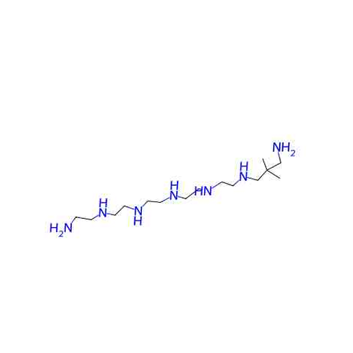 CC(C)(CN)CNCCNCCNCCNCCNCCN